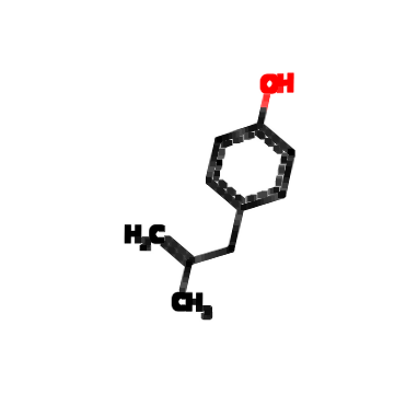 C=C(C)Cc1ccc(O)cc1